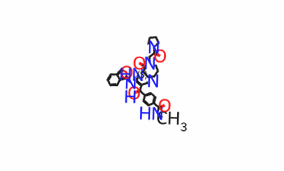 CNC(=O)c1ccc(C(=O)C(C#N)=C(Nc2occ3ccccc23)N[C@H]2CCCCN(CC(=O)N3CCCC3)C2=O)cc1